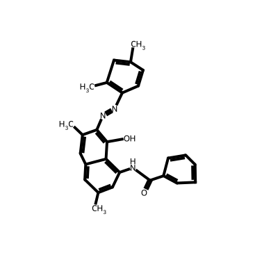 Cc1ccc(N=Nc2c(C)cc3cc(C)cc(NC(=O)c4ccccc4)c3c2O)c(C)c1